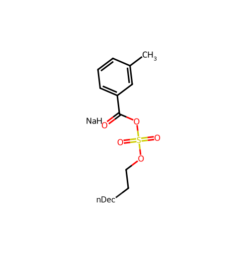 CCCCCCCCCCCCOS(=O)(=O)OC(=O)c1cccc(C)c1.[NaH]